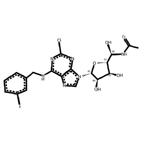 CC(=O)N[C@H](O)[C@H]1O[C@@H](n2cnc3c(NCc4cccc(I)c4)nc(Cl)nc32)[C@H](O)[C@@H]1O